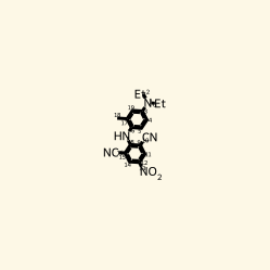 CCN(CC)c1ccc(Nc2c(C#N)cc([N+](=O)[O-])cc2C#N)c(C)c1